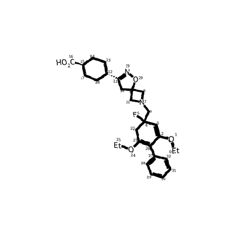 CCOC1=CC(F)(CN2CC3(CC([C@H]4CC[C@H](C(=O)O)CC4)=NO3)C2)CC(OCC)=C1c1ccccc1